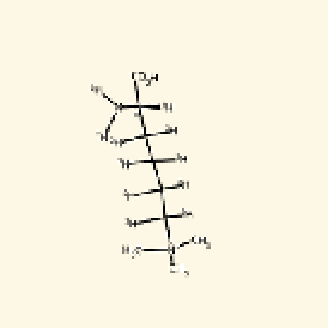 [2H]N([2H])[C@]([2H])(C(=O)O)C([2H])([2H])C([2H])([2H])C([2H])([2H])C([2H])([2H])[N+](C)(C)C